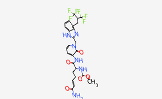 COC(=O)N[C@@H](CC/C=C/C(N)=O)C(=O)Nc1cccn(Cc2nc3c(CC(C(F)(F)F)C(F)(F)F)cccc3[nH]2)c1=O